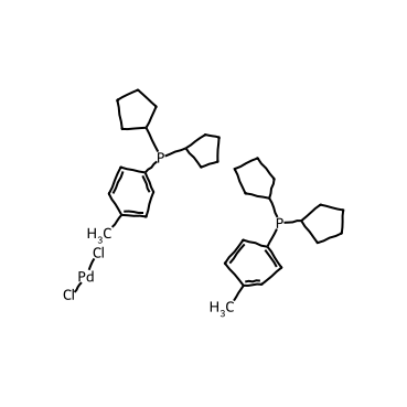 Cc1ccc(P(C2CCCC2)C2CCCC2)cc1.Cc1ccc(P(C2CCCC2)C2CCCC2)cc1.[Cl][Pd][Cl]